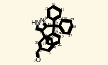 O=Cc1cccc(-c2c[nH]nc2C(c2ccccc2)(c2ccccc2)c2ccccc2)c1